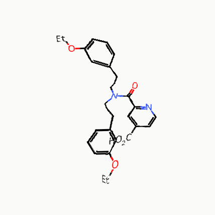 CCOc1cccc(CCN(CCc2cccc(OCC)c2)C(=O)c2cc(C(=O)O)ccn2)c1